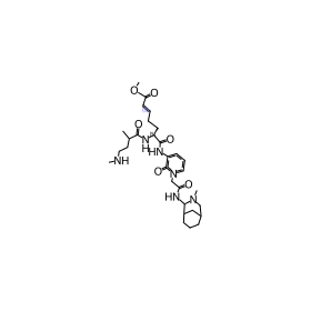 CNCCC(C)C(=O)N[C@@H](CC/C=C/C(=O)OC)C(=O)Nc1cccn(CC(=O)NC2C3CCCC(C3)CN2C)c1=O